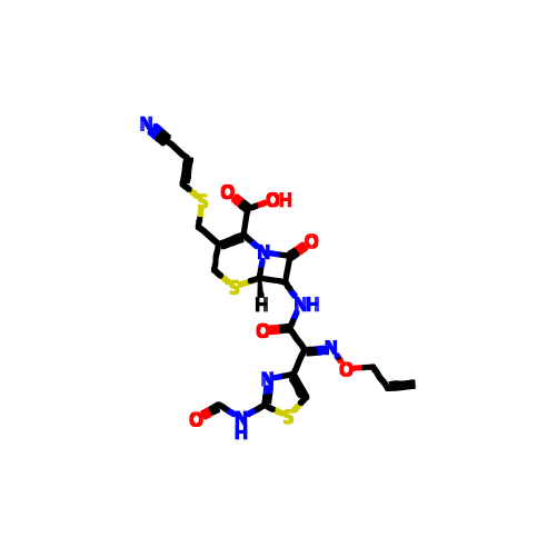 C=CCON=C(C(=O)NC1C(=O)N2C(C(=O)O)=C(CS/C=C/C#N)CS[C@@H]12)c1csc(NC=O)n1